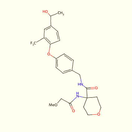 COCC(=O)NC1(C(=O)NCc2ccc(Oc3ccc(C(C)O)cc3C(F)(F)F)cc2)CCOCC1